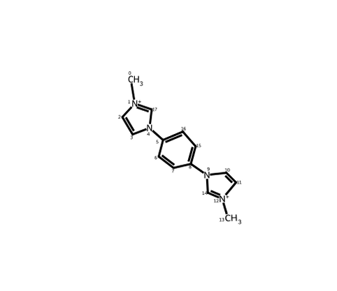 C[n+]1ccn(-c2ccc(-n3cc[n+](C)c3)cc2)c1